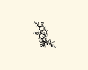 CC1(C)O[C@@H]2C[C@H]3[C@@H]4CCC5=CC(=O)C(=CO)C[C@]5(C)[C@H]4[C@@H](O)C[C@]3(C)[C@]2(C(=O)CO[Si](C)(C)C(C)(C)C)O1